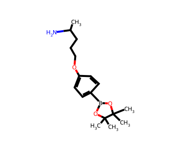 CC(N)CCCOc1ccc(B2OC(C)(C)C(C)(C)O2)cc1